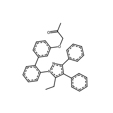 CCc1c(-c2ccccc2)c(-c2ccccc2)nn1-c1ccccc1-c1cccc(OCC(C)=O)c1